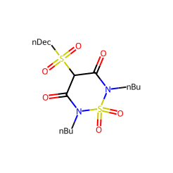 CCCCCCCCCCS(=O)(=O)C1C(=O)N(CCCC)S(=O)(=O)N(CCCC)C1=O